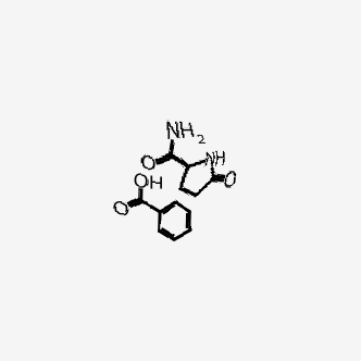 NC(=O)C1CCC(=O)N1.O=C(O)c1ccccc1